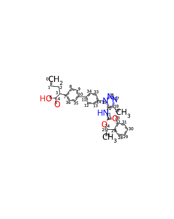 C=CCC(C(=O)O)c1ccc(-c2ccc(-n3nnc(C)c3NC(=O)OC(C)c3ccccc3)cc2)cc1